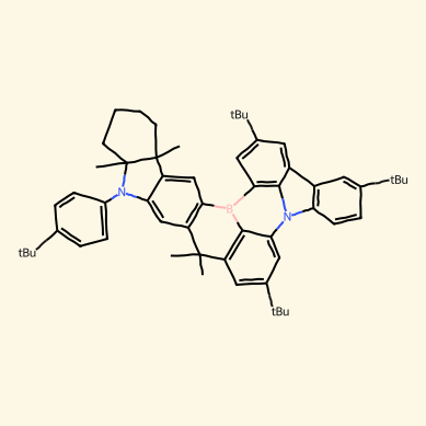 CC(C)(C)c1ccc(N2c3cc4c(cc3C3(C)CCCCC23C)B2c3c(cc(C(C)(C)C)cc3C4(C)C)-n3c4ccc(C(C)(C)C)cc4c4cc(C(C)(C)C)cc2c43)cc1